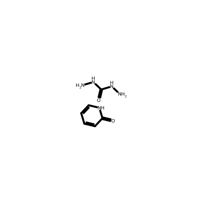 NNC(=O)NN.O=c1cccc[nH]1